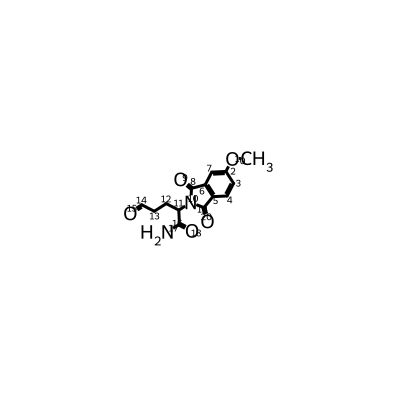 COc1ccc2c(c1)C(=O)N(C(CCC=O)C(N)=O)C2=O